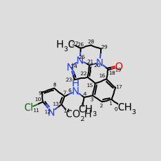 Cc1cc(C(C)Nc2ccc(Cl)nc2C(=O)O)c2c(c1)c(=O)n1c3c2cnn3C(C)CC1